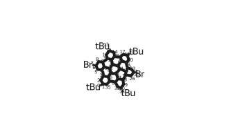 CC(C)(C)c1cc2c3cc(Br)cc4c5cc(C(C)(C)C)cc6c7cc(C(C)(C)C)cc8c9cc(Br)cc%10c%11cc(C(C)(C)C)cc%12c(c1)c2c1c(c34)c(c56)c(c87)c(c%109)c1c%11%12